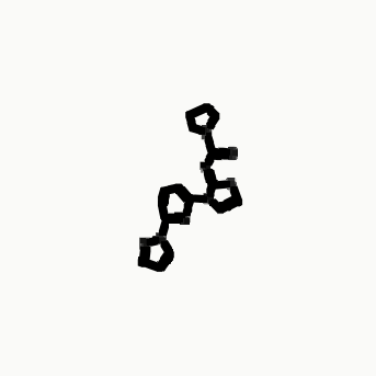 O=C(N=c1sccn1-c1cccc(-n2cccn2)n1)N1CCCC1